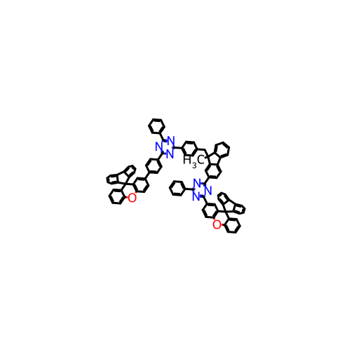 CC1(Cc2ccc(-c3nc(-c4ccccc4)nc(-c4ccc(-c5ccc6c(c5)C5(c7ccccc7O6)c6ccccc6-c6ccccc65)cc4)n3)cc2)c2ccccc2-c2ccc(-c3nc(-c4ccccc4)nc(-c4ccc5c(c4)C4(c6ccccc6O5)c5ccccc5-c5ccccc54)n3)cc21